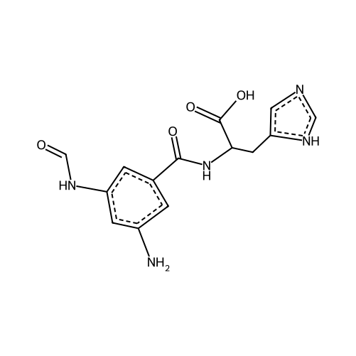 Nc1cc(NC=O)cc(C(=O)NC(Cc2cnc[nH]2)C(=O)O)c1